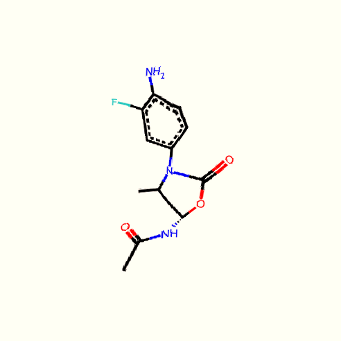 CC(=O)N[C@H]1OC(=O)N(c2ccc(N)c(F)c2)C1C